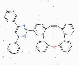 C1=C\c2ccc(-c3nc(-c4ccccc4)cc(-c4ccccc4)n3)cc2-c2ccccc2Oc2ccccc2-c2ccccc2/1